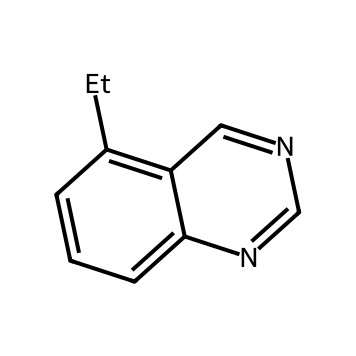 CCc1cccc2ncncc12